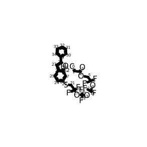 C=CC(=O)OCC(F)(F)OC(F)(F)OC(F)(F)OC(F)(F)CSc1ccc2cc(-c3ccccc3)oc2c1